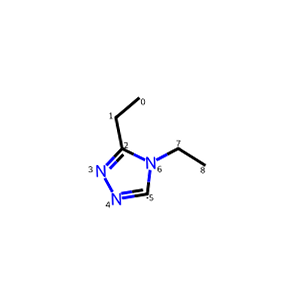 CCc1nn[c]n1CC